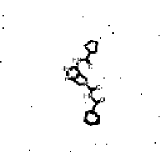 O=C(NC(=O)N1Cc2n[nH]c(NC(=O)C3CCCC3)c2C1)c1ccccc1